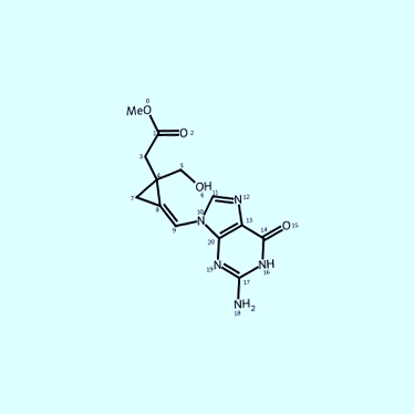 COC(=O)CC1(CO)C/C1=C/n1cnc2c(=O)[nH]c(N)nc21